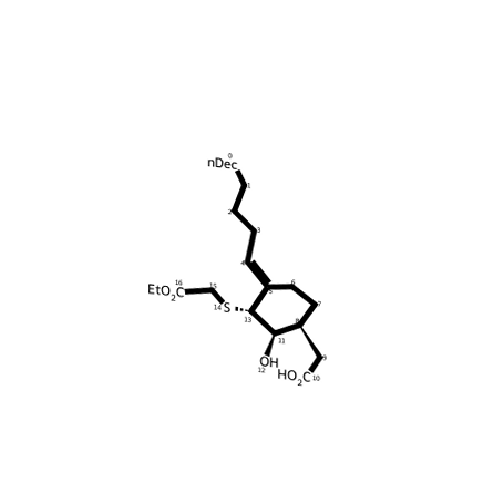 CCCCCCCCCCCCC/C=C1\CC[C@@H](CC(=O)O)[C@@H](O)[C@@H]1SCC(=O)OCC